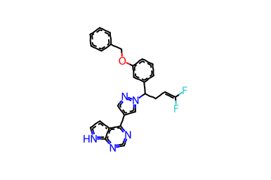 FC(F)=CCC(c1cccc(OCc2ccccc2)c1)n1cc(-c2ncnc3[nH]ccc23)cn1